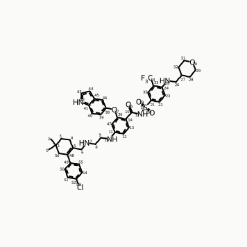 CC1(C)CCC(CNCCNc2ccc(C(=O)NS(=O)(=O)c3ccc(NCC4CCOCC4)c(C(F)(F)F)c3)c(Oc3ccc4[nH]ccc4c3)c2)=C(c2ccc(Cl)cc2)C1